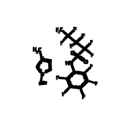 CCCC[n+]1ccn(C)c1.O=S(=O)(Nc1c(F)c(F)c(F)c(F)c1F)C(F)(F)C(F)(F)C(F)(F)C(F)(F)F